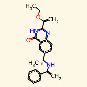 C=C(N[C@H](C)c1ccc2nc(C(=C)OCC)[nH]c(=O)c2c1)c1ccccc1